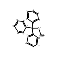 [NH]SC(c1ccccc1)(c1ccccc1)c1ccccc1